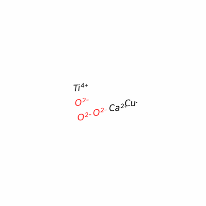 [Ca+2].[Cu].[O-2].[O-2].[O-2].[Ti+4]